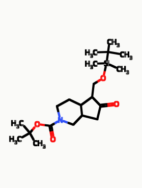 CC(C)(C)OC(=O)N1CCC2C(CC(=O)C2CO[Si](C)(C)C(C)(C)C)C1